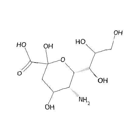 N[C@@H]1C(O)CC(O)(C(=O)O)O[C@@H]1C(O)C(O)CO